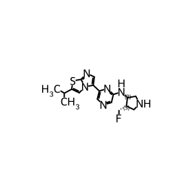 CC(C)c1cn2c(-c3cncc(N[C@H]4CNC[C@@H]4CF)n3)cnc2s1